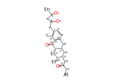 CCC(=O)CC(=O)Cc1ccc2c(c1C)C(=O)CC(CC(CC(=O)CC(C)=O)C(CC)CC)C2